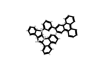 C1=CC2=c3ccccc3=C3C=CC(c4cccc(-n5c6ccccc6c6nc7c8ccccc8c8ccccc8n7c65)c4)=CC3C2C=C1